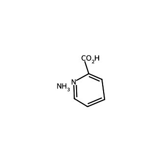 N.O=C(O)c1ccccn1